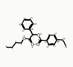 CCCCOC(=O)C(OC(=O)c1ccc(CC)cc1)c1ccccc1